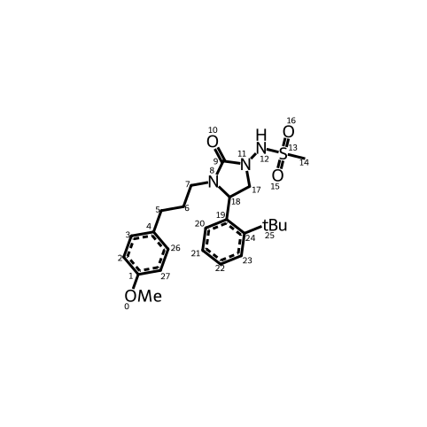 COc1ccc(CCCN2C(=O)N(NS(C)(=O)=O)CC2c2ccccc2C(C)(C)C)cc1